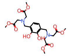 COC(=O)CN(CC(=O)OC)Cc1ccc(CN(CC(=O)OC)CC(=O)OC)c(O)c1O